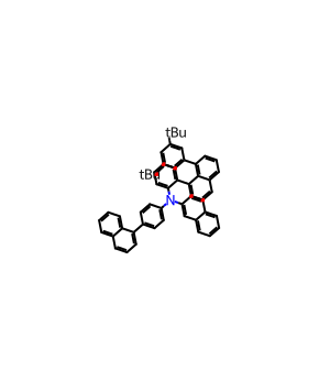 CC(C)(C)c1cc(-c2cccc3cccc(-c4ccccc4N(c4ccc(-c5cccc6ccccc56)cc4)c4ccc5ccccc5c4)c23)cc(C(C)(C)C)c1